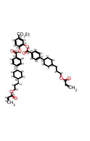 C=CC(=O)OCCCC1CCC(c2ccc(C(=O)Oc3cc(C(=O)OCC)ccc3OC(=O)c3ccc([C@H]4CC[C@H](CCCOC(=O)C=C)CC4)cc3)cc2)CC1